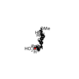 COC[C@@H]1CN[C@H](c2nc3ccc4cc5c(cc4c3[nH]2)OCc2cc(-c3cnc([C@@H]4C[C@H](C)CN4C(=O)[C@@H](NC(=O)O)C(C)C)[nH]3)ccc2-5)C1